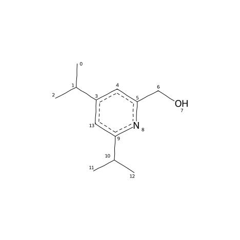 CC(C)c1cc(CO)nc(C(C)C)c1